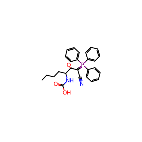 CCCCC(NC(=O)O)C(=O)C(C#N)=P(c1ccccc1)(c1ccccc1)c1ccccc1